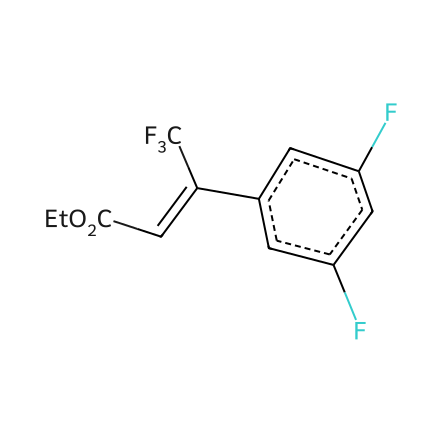 CCOC(=O)C=C(c1cc(F)cc(F)c1)C(F)(F)F